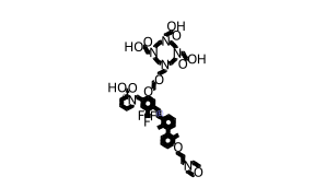 Cc1c(/C=C/c2cc(OCCOCCN3CCN(CC(=O)O)CCN(CC(=O)O)CCN(CC(=O)O)CC3)c(CN3CCCC[C@H]3C(=O)O)cc2C(F)(F)F)cccc1-c1cccc(OCCCN2CCOCC2)c1C